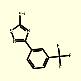 FC(F)(F)c1cccc(-c2nsc(S)n2)c1